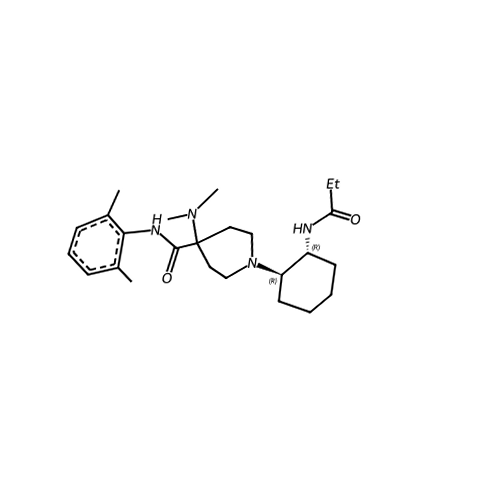 CCC(=O)N[C@@H]1CCCC[C@H]1N1CCC(C(=O)Nc2c(C)cccc2C)(N(C)C)CC1